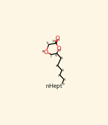 CCCCCCCCCCCCC1COCC(=O)O1